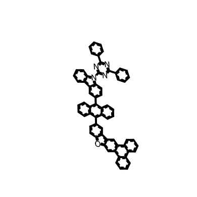 c1ccc(-c2nc(-c3ccccc3)nc(-n3c4ccccc4c4cc(-c5c6ccccc6c(-c6ccc7oc8cc9c%10ccccc%10c%10ccccc%10c9cc8c7c6)c6ccccc56)ccc43)n2)cc1